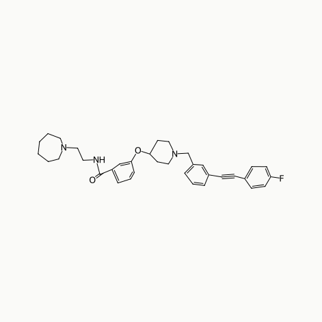 O=C(NCCN1CCCCCC1)c1cccc(OC2CCN(Cc3cccc(C#Cc4ccc(F)cc4)c3)CC2)c1